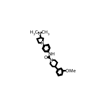 COc1cccc(C2CCN(C(=O)Nc3ccc(N4CCC(N(C)C)C4)cc3)CC2)c1